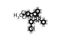 CC(C)(C)c1ccc2c3ccccc3n(-c3ccc(-c4ccccn4)cc3-c3nc(-c4ccccc4)nc(-c4ccccc4)n3)c2c1